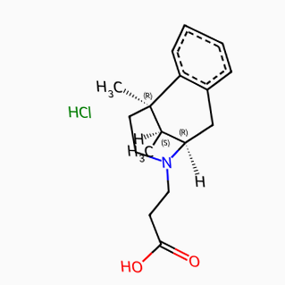 C[C@@H]1[C@H]2Cc3ccccc3[C@]1(C)CCN2CCC(=O)O.Cl